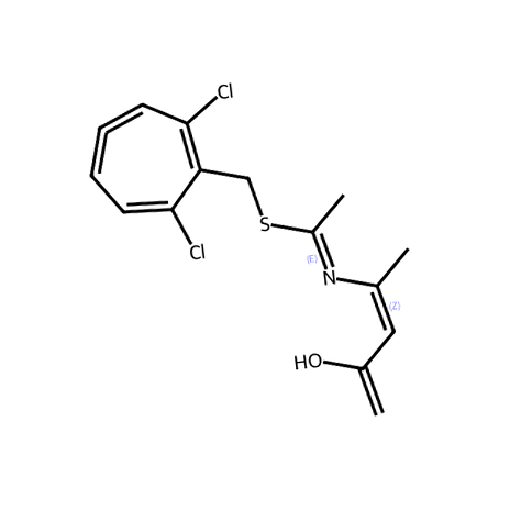 C=C(O)/C=C(C)\N=C(/C)SCC1=C(Cl)C=C=CC=C1Cl